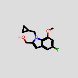 COc1cc(F)cc2cc(CO)n(CC3CC3)c12